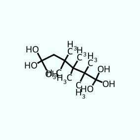 CC(C)(CC(O)(O)O)C(C)(C)C(C)(C)C(O)(O)O